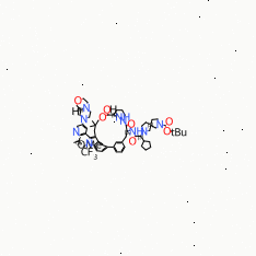 CO[C@@H](C)c1ncc(N2CCN3CCOC[C@@H]3C2)cc1-c1c2c3cc(ccc3n1CC(F)(F)F)-c1cccc(c1)C[C@H](NC(=O)[C@H](C1CCCC1)N1CC[C@]3(CCN(C(=O)OC(C)(C)C)C3)C1)C(=O)N1CCC[C@H](N1)C(=O)OCC(C)(C)C2